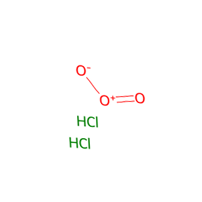 Cl.Cl.O=[O+][O-]